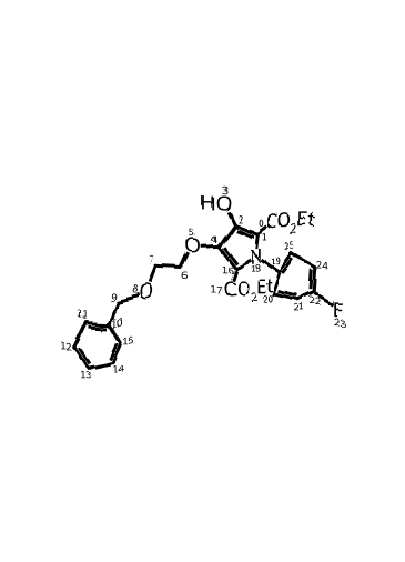 CCOC(=O)c1c(O)c(OCCOCc2ccccc2)c(C(=O)OCC)n1-c1ccc(F)cc1